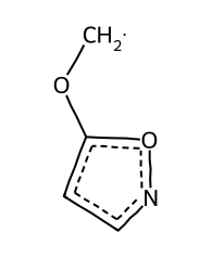 [CH2]Oc1ccno1